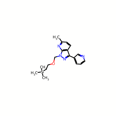 Cc1ccc2c(-c3cccnc3)nn(COCC[Si](C)(C)C)c2n1